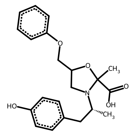 C[C@H](Cc1ccc(O)cc1)N1CC(COc2ccccc2)OC1(C)C(=O)O